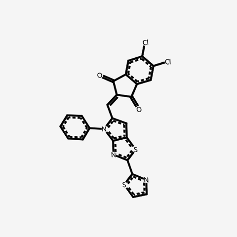 O=C1C(=Cc2cc3sc(-c4nccs4)nc3n2-c2ccccc2)C(=O)c2cc(Cl)c(Cl)cc21